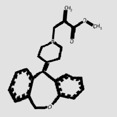 C=C(CN1CCC(=C2c3ccccc3COc3ccccc32)CC1)C(=O)OC